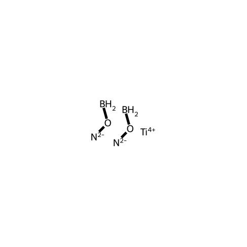 BO[N-2].BO[N-2].[Ti+4]